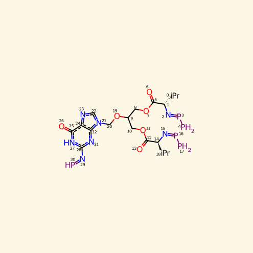 CC(C)[C@H](N=PP)C(=O)OCC(COC(=O)[C@@H](N=PP)C(C)C)OCn1cnc2c(=O)[nH]c(N=P)nc21